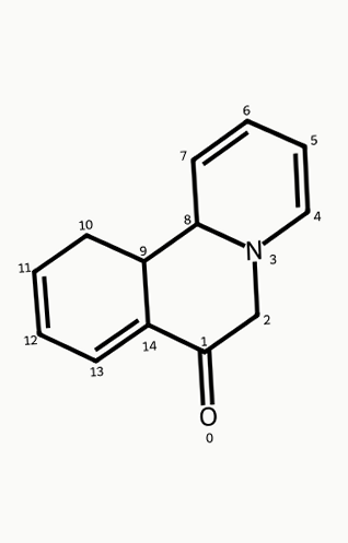 O=C1CN2C=CC=CC2C2CC=CC=C12